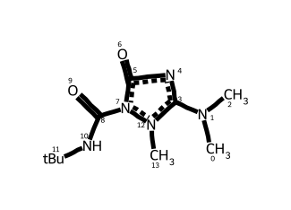 CN(C)c1nc(=O)n(C(=O)NC(C)(C)C)n1C